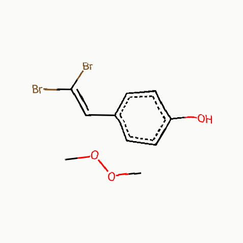 COOC.Oc1ccc(C=C(Br)Br)cc1